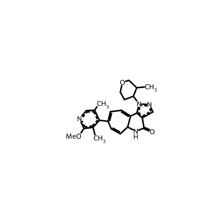 COc1ncc(C)c(C2=CC=C3c4c(cnn4C4CCOCC4C)C(=O)NC3C=C2)c1C